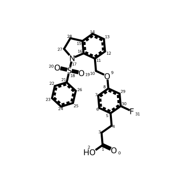 O=C(O)CCc1ccc(OCc2cccc3c2N(S(=O)(=O)c2ccccc2)CC3)cc1F